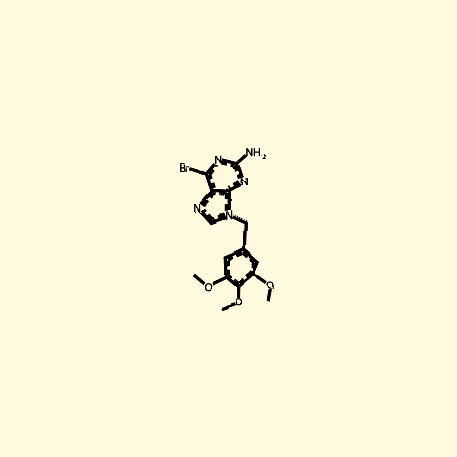 COc1cc(Cn2cnc3c(Br)nc(N)nc32)cc(OC)c1OC